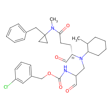 CC1CCCCC1N(CC(C=O)NC(=O)OCc1cccc(Cl)c1)[C@H](C=O)CCC(=O)N(C)C1(Cc2ccccc2)CC1